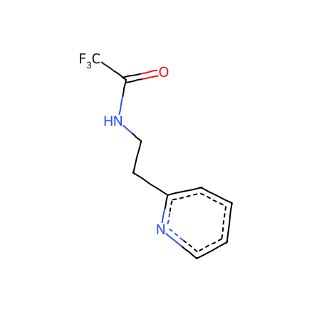 O=C(NCCc1ccccn1)C(F)(F)F